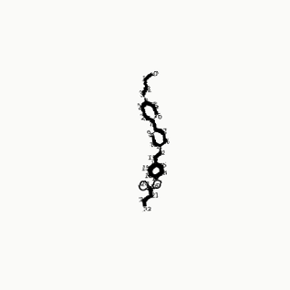 CCCC[C@H]1CC[C@H]([C@H]2CC[C@H](CCc3ccc(OC(=O)CCC)cc3)CC2)CC1